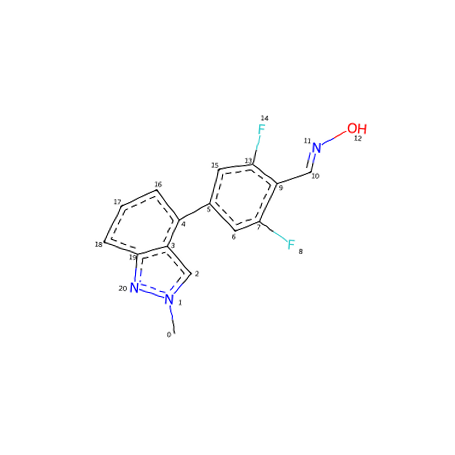 Cn1cc2c(-c3cc(F)c(/C=N/O)c(F)c3)cccc2n1